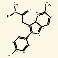 CCCN(CCC)C(=O)Cc1c(-c2ccc(F)cc2)nc2ccc(OC)nn12